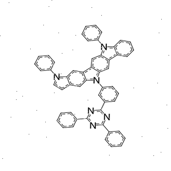 c1ccc(-c2nc(-c3ccccc3)nc(-c3cccc(-n4c5cc6ccn(-c7ccccc7)c6cc5c5cc6c(cc54)c4ccccc4n6-c4ccccc4)c3)n2)cc1